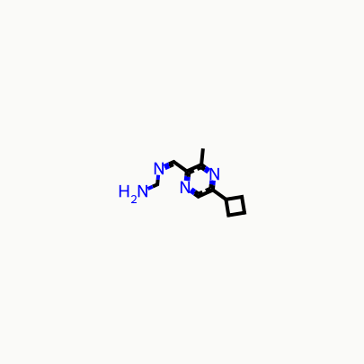 Cc1nc(C2CCC2)cnc1/C=N\CN